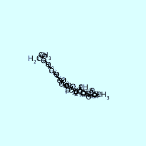 C=C(C)C(=O)OCCOCCOCCOCCOC(=O)Oc1ccc(C(=O)Oc2ccc3c(c2)C(C)c2cc(OC(=O)c4ccc(C)cc4F)ccc2-3)c(F)c1